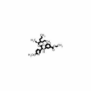 CCCC(CCC)[C@H](CC)OC(=O)C(Nc1cccc(C(=O)OCC)c1)c1ccc(OC)nc1